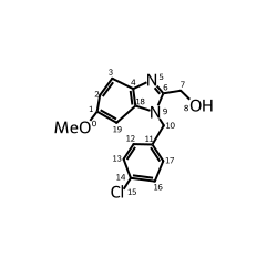 COc1ccc2nc(CO)n(Cc3ccc(Cl)cc3)c2c1